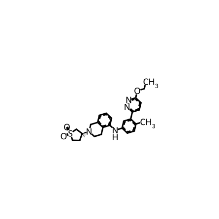 CCOc1ccc(-c2cc(Nc3cccc4c3CCN([C@H]3CCS(=O)(=O)C3)C4)ccc2C)nn1